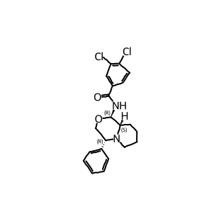 O=C(N[C@@H]1OC[C@@H](c2ccccc2)N2CCCC[C@@H]12)c1ccc(Cl)c(Cl)c1